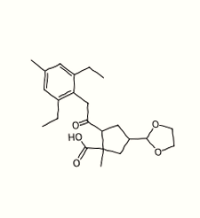 CCc1cc(C)cc(CC)c1CC(=O)C1CC(C2OCCO2)CC1(C)C(=O)O